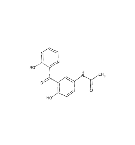 CC(=O)Nc1ccc(O)c(C(=O)c2ncccc2O)c1